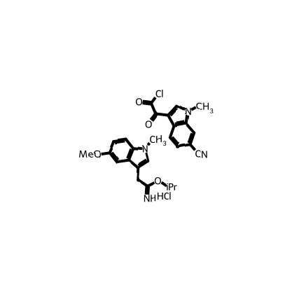 COc1ccc2c(c1)c(CC(=N)OC(C)C)cn2C.Cl.Cn1cc(C(=O)C(=O)Cl)c2ccc(C#N)cc21